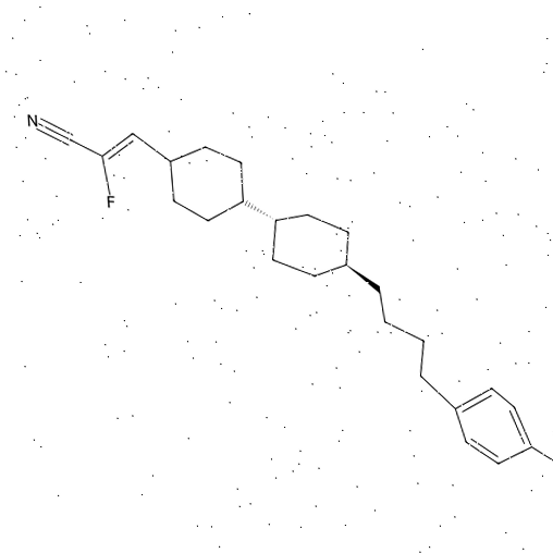 N#C/C(F)=C/C1CCC([C@H]2CC[C@H](CCCCc3ccc(F)cc3)CC2)CC1